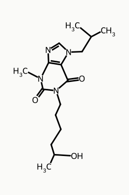 CC(C)Cn1cnc2c1c(=O)n(CCCCC(C)O)c(=O)n2C